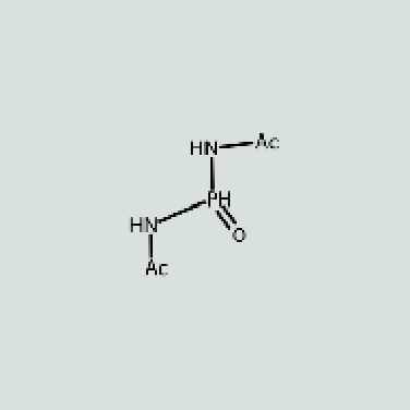 CC(=O)N[PH](=O)NC(C)=O